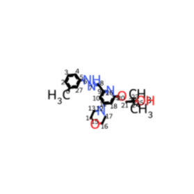 Cc1cccc(NN=Cc2cc(N3CCOCC3)cc(OCC(C)(C)O)n2)c1